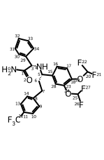 NC(=O)[C@@H](N[C@@H](CCc1ccc(C(F)(F)F)cc1)c1ccc(OC(F)F)c(OC(F)F)c1)c1ccccc1